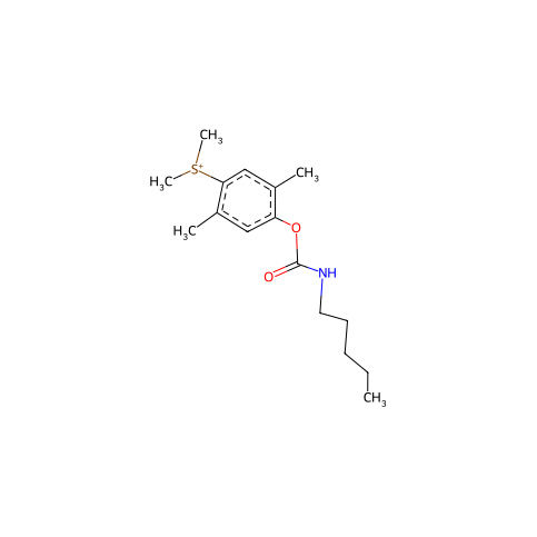 CCCCCNC(=O)Oc1cc(C)c([S+](C)C)cc1C